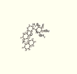 Bc1nc(-c2cccc3c2oc2c(-c4cccc5ccccc45)c(F)ccc23)c(B)c(F)c1C(C)(C)C